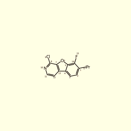 CC(C)c1ccc2c(oc3c(Cl)nccc32)c1F